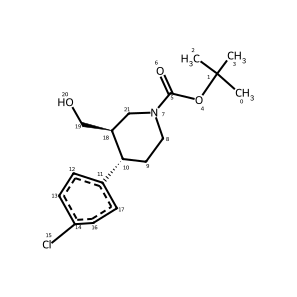 CC(C)(C)OC(=O)N1CC[C@H](c2ccc(Cl)cc2)[C@@H](CO)C1